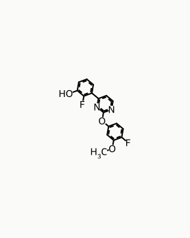 COc1cc(Oc2nccc(-c3cccc(O)c3F)n2)ccc1F